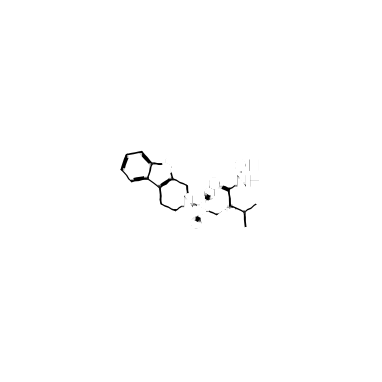 CC(C)[C@@H](CS(=O)(=O)N1CCc2c(sc3ccccc23)C1)C(=O)NO